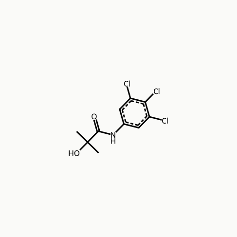 CC(C)(O)C(=O)Nc1cc(Cl)c(Cl)c(Cl)c1